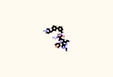 CCc1nc2c(cnn2CC)c(NC2CCOCC2)c1CC1CC1(C(N)=O)C(=O)NCc1cccc(-c2cccc(CC3CCNCC3)c2)c1